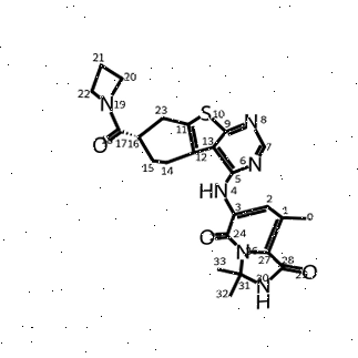 Cc1cc(Nc2ncnc3sc4c(c23)CC[C@H](C(=O)N2CCC2)C4)c(=O)n2c1C(=O)NC2(C)C